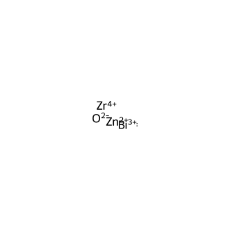 [Bi+3].[O-2].[Zn+2].[Zr+4]